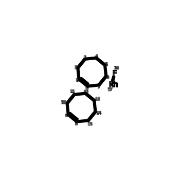 C1=C\CCCCCC/1.C1=C\CCCCCC/1.[F][Rh]